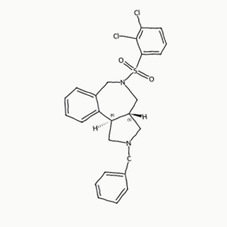 O=S(=O)(c1cccc(Cl)c1Cl)N1Cc2ccccc2[C@@H]2CN(Cc3ccccc3)C[C@H]2C1